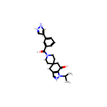 CC(C)n1ncc2c1C(=O)CC1(CCN(C(=O)c3cccc(-c4cn[nH]c4)c3)CC1)C2